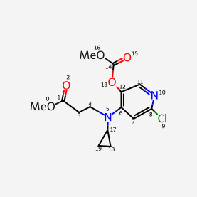 COC(=O)CCN(c1cc(Cl)ncc1OC(=O)OC)C1CC1